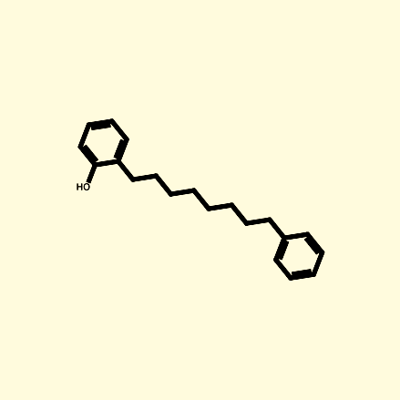 Oc1ccccc1CCCCCCCCc1ccccc1